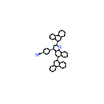 N#Cc1ccc(-c2cc(-c3cc4ccccc4c4ccccc34)nc3c2cc(-c2cc4ccccc4c4ccccc24)c2ccccc23)cc1